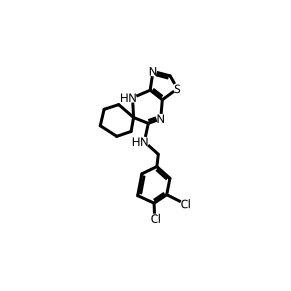 Clc1ccc(CNC2=Nc3scnc3NC23CCCCC3)cc1Cl